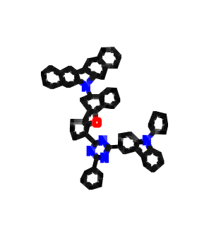 c1ccc(-c2nc(-c3ccc4c(c3)c3ccccc3n4-c3ccccc3)nc(-c3cccc4c3oc3c5ccccc5c(-n5c6cc7ccccc7cc6c6cc7ccccc7cc65)cc43)n2)cc1